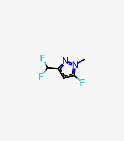 Cn1nc(C(F)F)[c]c1F